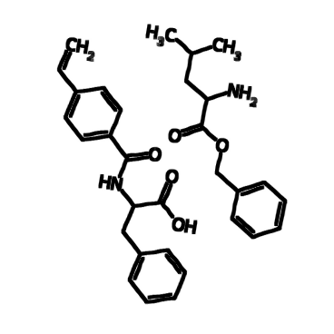 C=Cc1ccc(C(=O)NC(Cc2ccccc2)C(=O)O)cc1.CC(C)CC(N)C(=O)OCc1ccccc1